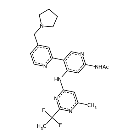 CC(=O)Nc1cc(Nc2cc(C)nc(C(C)(F)F)n2)c(-c2cc(CN3CCCC3)ccn2)cn1